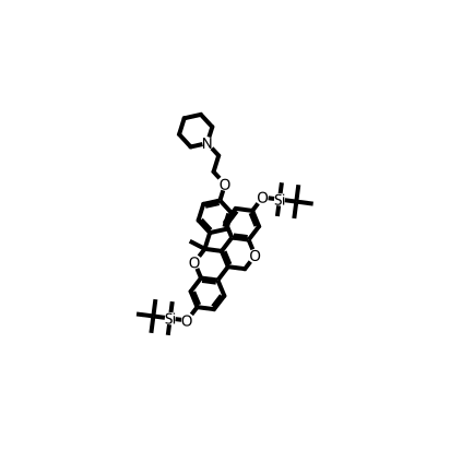 CC1(c2ccc(OCCN3CCCCC3)cc2)Oc2cc(O[Si](C)(C)C(C)(C)C)ccc2C2=C1c1ccc(O[Si](C)(C)C(C)(C)C)cc1OC2